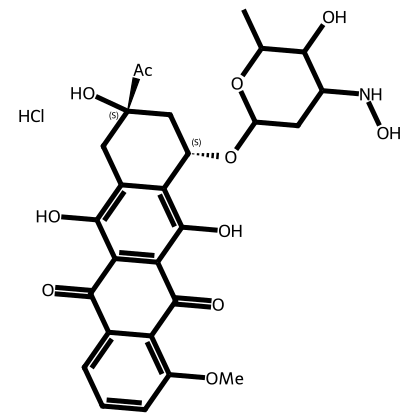 COc1cccc2c1C(=O)c1c(O)c3c(c(O)c1C2=O)C[C@@](O)(C(C)=O)C[C@@H]3OC1CC(NO)C(O)C(C)O1.Cl